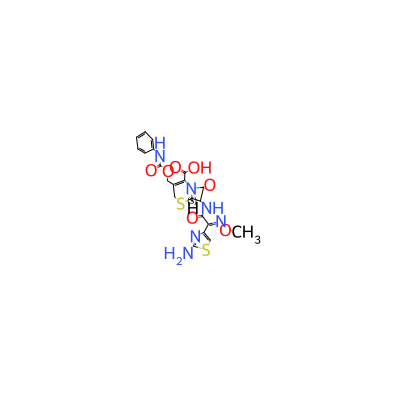 CON=C(C(=O)NC1C(=O)N2C(C(=O)O)=C(COC(=O)Nc3ccccc3)CS[C@@H]12)c1csc(N)n1